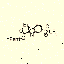 CCCCCOC(=O)c1nc2cc(S(=O)(=O)C(F)(F)F)ccc2n1CC